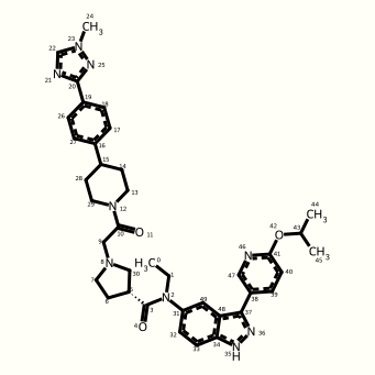 CCN(C(=O)[C@@H]1CCN(CC(=O)N2CCC(c3ccc(-c4ncn(C)n4)cc3)CC2)C1)c1ccc2[nH]nc(-c3ccc(OC(C)C)nc3)c2c1